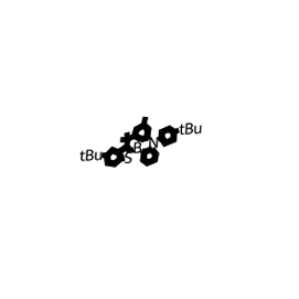 Cc1cc2c3c(c1)C(C)(C)c1c(sc4ccc(C(C)(C)C)cc14)B3c1ccccc1N2c1ccc(C(C)(C)C)cc1